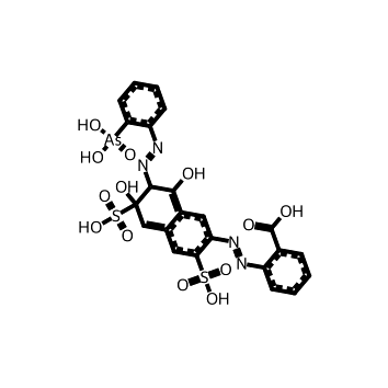 O=C(O)c1ccccc1N=Nc1cc2c(cc1S(=O)(=O)O)=CC(O)(S(=O)(=O)O)C(N=Nc1ccccc1[As](=O)(O)O)C=2O